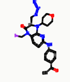 [N-]=[N+]=NC[C@@H]1C(=O)N(CI)c2ccc(Nc3ccc(C(=O)N=O)cc3)nc2N1C1CCOCC1